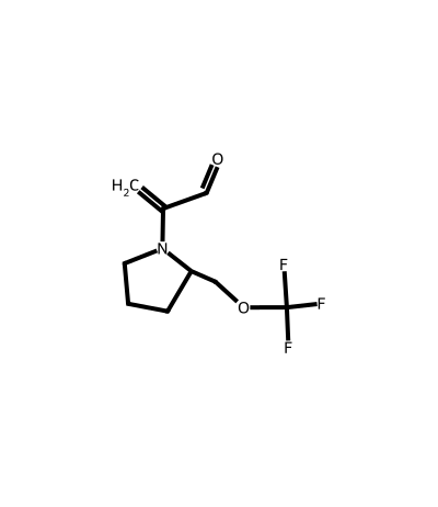 C=C(C=O)N1CCCC1COC(F)(F)F